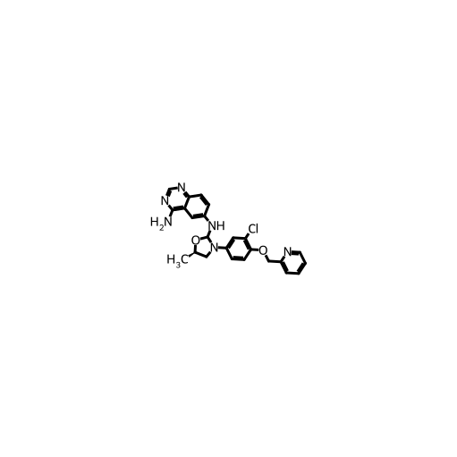 C[C@@H]1CN(c2ccc(OCc3ccccn3)c(Cl)c2)C(Nc2ccc3ncnc(N)c3c2)O1